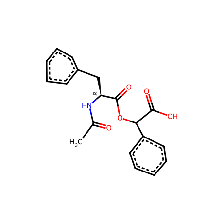 CC(=O)N[C@@H](Cc1ccccc1)C(=O)OC(C(=O)O)c1ccccc1